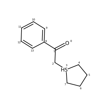 O=C(C[SH]1CCCC1)c1ccccc1